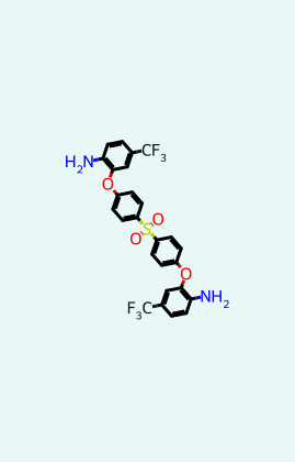 Nc1ccc(C(F)(F)F)cc1Oc1ccc(S(=O)(=O)c2ccc(Oc3cc(C(F)(F)F)ccc3N)cc2)cc1